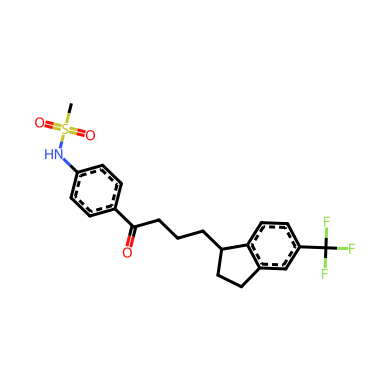 CS(=O)(=O)Nc1ccc(C(=O)CCCC2CCc3cc(C(F)(F)F)ccc32)cc1